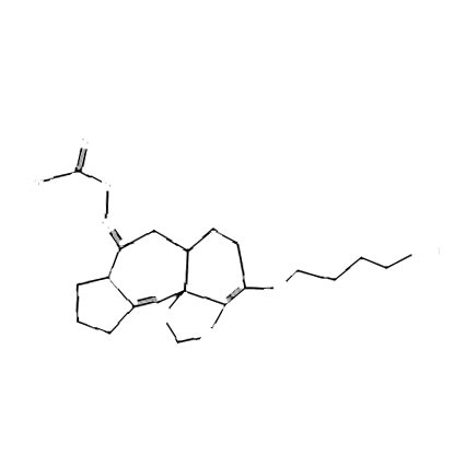 N=C(N)NN=C1CC2CCC(OCCCCC(=O)O)=C3OCOC32C=C2CCCC21